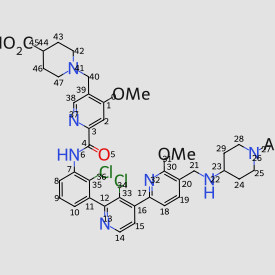 COc1cc(C(=O)Nc2cccc(-c3nccc(-c4ccc(CNC5CCN(C(C)=O)CC5)c(OC)n4)c3Cl)c2Cl)ncc1CN1CCC(C(=O)O)CC1